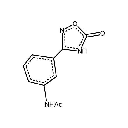 CC(=O)Nc1cccc(-c2noc(=O)[nH]2)c1